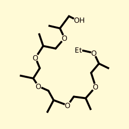 CCOC(C)COC(C)COC(C)COC(C)COC(C)COC(C)CO